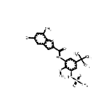 COc1c(NC(=O)c2cc3cc(Cl)cc(C)c3s2)cc(C(C)(C)C)cc1NS(C)(=O)=O